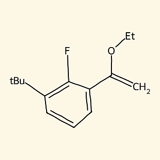 C=C(OCC)c1cccc(C(C)(C)C)c1F